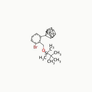 CC(C)(C)[Si](C)(C)OCc1c(Br)cccc1[C]12[CH]3[CH]4[CH]5[CH]1[Fe]45321678[CH]2[CH]1[CH]6[CH]7[CH]28